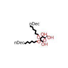 CCCCCCCCCCCCCCCCO[C@@H]1[C@@H](OCCCCCCCCCCCCCCCC)[C@H](O)[C@@H](CO)O[C@H]1O